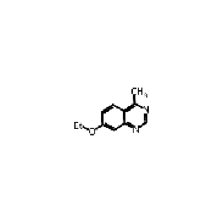 CCOc1ccc2c(C)ncnc2c1